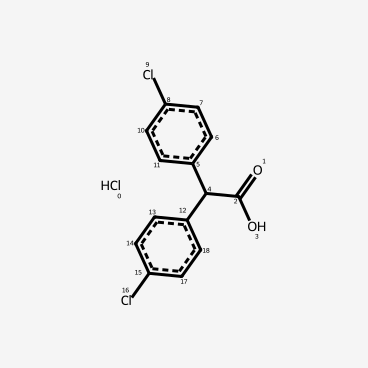 Cl.O=C(O)C(c1ccc(Cl)cc1)c1ccc(Cl)cc1